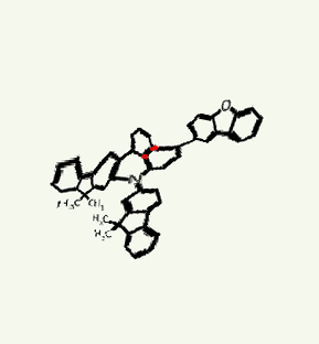 CC1(C)c2ccccc2-c2ccc(N(c3ccc(-c4ccc5oc6ccccc6c5c4)cc3)c3cc4c(cc3-c3ccccc3)-c3ccccc3C4(C)C)cc21